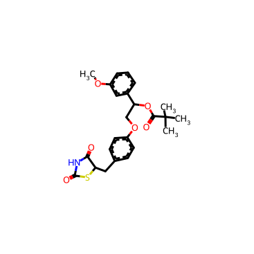 COc1cccc(C(COc2ccc(CC3SC(=O)NC3=O)cc2)OC(=O)C(C)(C)C)c1